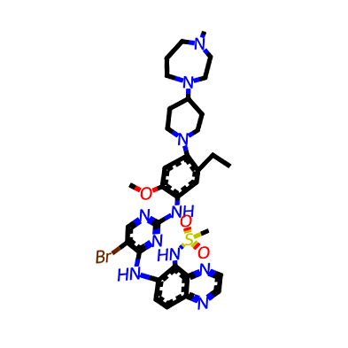 CCc1cc(Nc2ncc(Br)c(Nc3ccc4nccnc4c3NS(C)(=O)=O)n2)c(OC)cc1N1CCC(N2CCCN(C)CC2)CC1